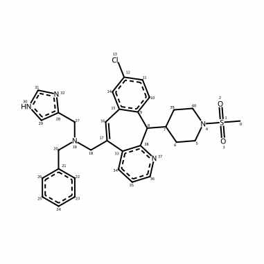 CS(=O)(=O)N1CCC(C2c3ccc(Cl)cc3C=C(CN(Cc3ccccc3)Cc3c[nH]cn3)c3cccnc32)CC1